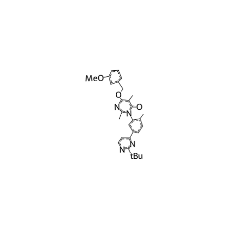 COc1cccc(COc2nc(C)n(-c3cc(-c4ccnc(C(C)(C)C)n4)ccc3C)c(=O)c2C)c1